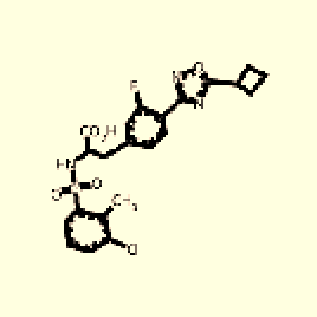 Cc1c(Cl)cccc1S(=O)(=O)NC(Cc1ccc(-c2noc(C3CCC3)n2)c(F)c1)C(=O)O